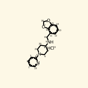 Cl.c1ccc(N2CCC(NCc3cccc4c3OCO4)CC2)nc1